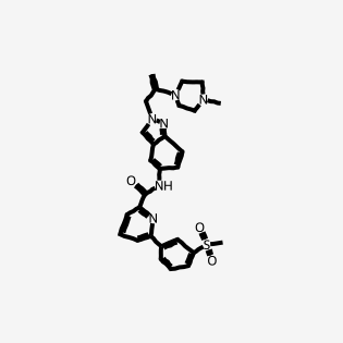 C=C(Cn1cc2cc(NC(=O)c3cccc(-c4cccc(S(C)(=O)=O)c4)n3)ccc2n1)N1CCN(C)CC1